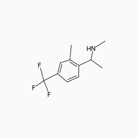 CNC(C)c1ccc(C(F)(F)F)cc1C